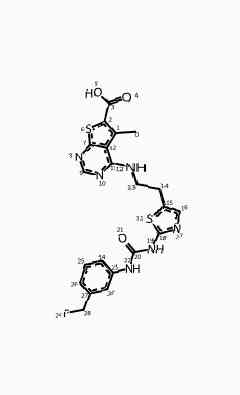 Cc1c(C(=O)O)sc2ncnc(NCCc3cnc(NC(=O)Nc4cccc(CF)c4)s3)c12